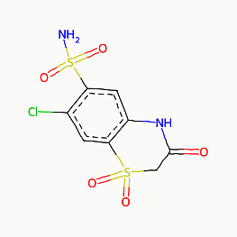 NS(=O)(=O)c1cc2c(cc1Cl)S(=O)(=O)CC(=O)N2